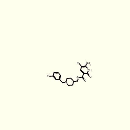 Nc1[nH]c(=O)c(C(=O)NCC2CCN(Cc3cccc(Cl)c3)CC2)cc1Cl